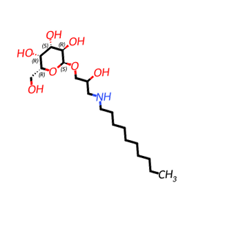 CCCCCCCCCCNCC(O)CO[C@H]1O[C@H](CO)[C@H](O)[C@H](O)[C@H]1O